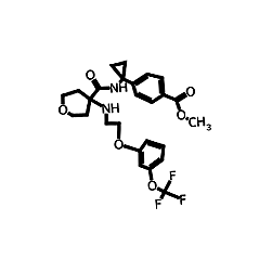 COC(=O)c1ccc(C2(NC(=O)C3(NCCOc4cccc(OC(F)(F)F)c4)CCOCC3)CC2)cc1